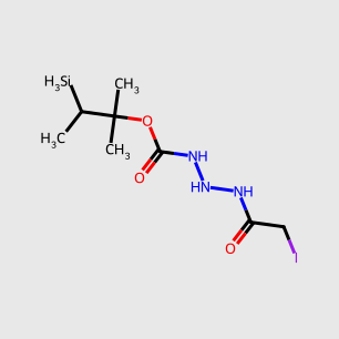 CC([SiH3])C(C)(C)OC(=O)NNNC(=O)CI